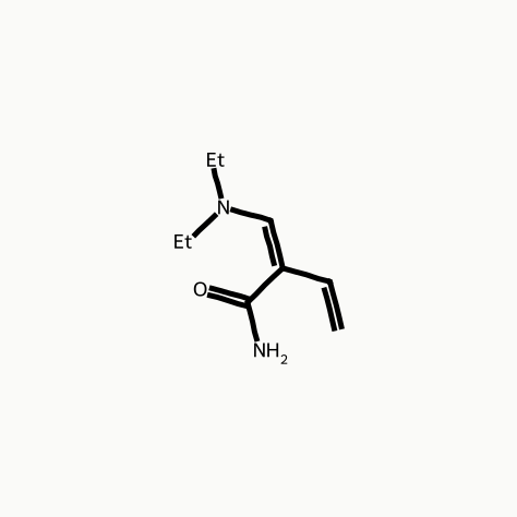 C=CC(=CN(CC)CC)C(N)=O